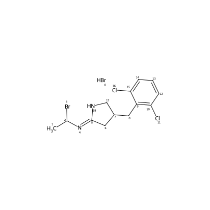 Br.CC(Br)/N=C1/CC(Cc2c(Cl)cccc2Cl)CN1